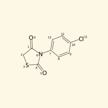 O=C1CSC(=O)N1c1ccc(Cl)cc1